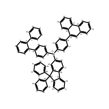 c1ccc(-c2ccccc2-c2ccc(N(c3ccc(-c4cc5ccccc5c5ccccc45)cc3)c3ccc4c(c3)C(c3ccccc3)(c3ccccc3)c3ccccc3-4)cc2)cc1